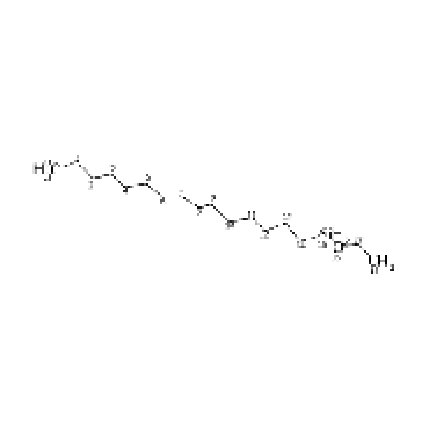 CCCCCCCCCCCCCCC[SiH2]OCC